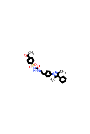 CC(=O)c1ccc(S(=O)(=O)NC(=O)NCCc2ccc(-n3nc(C)c(-c4ccccc4)c3C)cc2)cc1